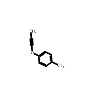 [CH2]c1ccc(OC#CC)cc1